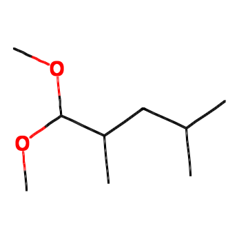 COC(OC)C(C)CC(C)C